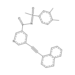 Cc1ccc(S(C)(=O)=NC(=O)c2cncc(C#Cc3cccc4ccccc34)c2)cc1C